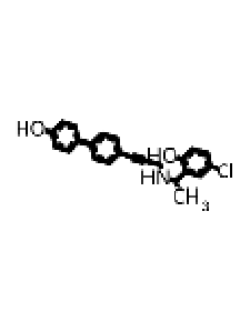 CC(NCC#Cc1ccc(-c2ccc(O)cc2)cc1)c1cc(Cl)ccc1O